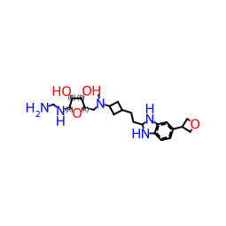 CN(C[C@H]1O[C@@H](NCN)[C@H](O)[C@@H]1O)C1CC(CCC2Nc3ccc(C4COC4)cc3N2)C1